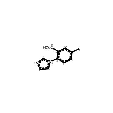 Cc1ccc(-n2ccnc2)c(C(=O)O)c1